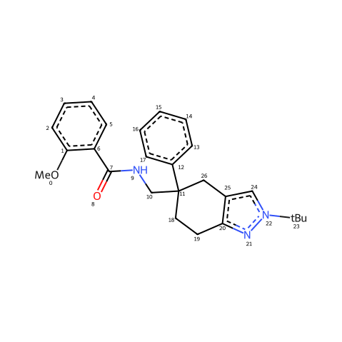 COc1ccccc1C(=O)NCC1(c2ccccc2)CCc2nn(C(C)(C)C)cc2C1